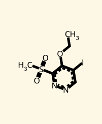 CCOc1c(I)cnnc1S(C)(=O)=O